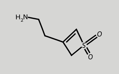 NCCC1=CS(=O)(=O)C1